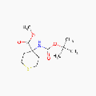 COC(=O)C1(NC(=O)OC(C)(C)C)CCSCC1